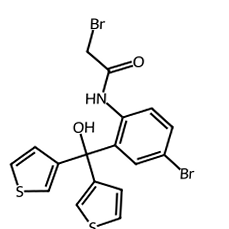 O=C(CBr)Nc1ccc(Br)cc1C(O)(c1ccsc1)c1ccsc1